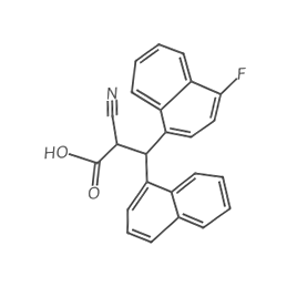 N#CC(C(=O)O)C(c1cccc2ccccc12)c1ccc(F)c2ccccc12